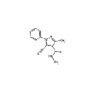 CNC(=O)c1c(C)nn(-c2ccccc2)c1C#N